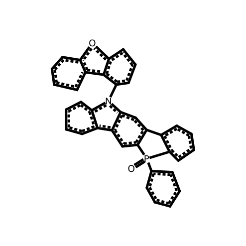 O=P1(c2ccccc2)c2ccccc2-c2cc3c(cc21)c1ccccc1n3-c1cccc2oc3ccccc3c12